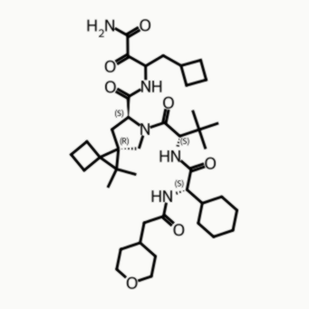 CC(C)(C)[C@H](NC(=O)[C@@H](NC(=O)CC1CCOCC1)C1CCCCC1)C(=O)N1C[C@]2(C[C@H]1C(=O)NC(CC1CCC1)C(=O)C(N)=O)C(C)(C)C21CCC1